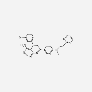 CN(CCc1ccccn1)c1ccc(-c2cc(-c3cccc(Br)c3)c3c(N)ncnc3n2)cn1